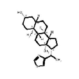 CC(c1cscn1)[C@H]1CC[C@H]2[C@@H]3CC[C@H]4C[C@@H](O)CC[C@]4(C)[C@H]3CC[C@]12C